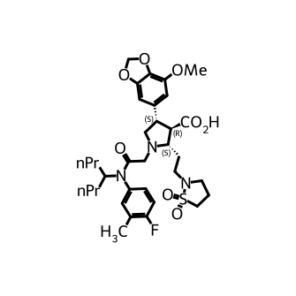 CCCC(CCC)N(C(=O)CN1C[C@H](c2cc(OC)c3c(c2)OCO3)[C@@H](C(=O)O)[C@@H]1CCN1CCCS1(=O)=O)c1ccc(F)c(C)c1